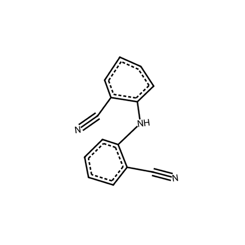 N#Cc1ccccc1Nc1ccccc1C#N